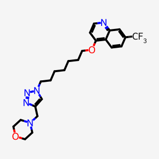 FC(F)(F)c1ccc2c(OCCCCCCCn3cc(CN4CCOCC4)nn3)ccnc2c1